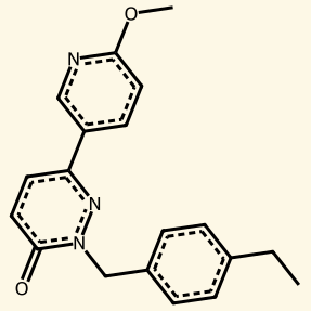 CCc1ccc(Cn2nc(-c3ccc(OC)nc3)ccc2=O)cc1